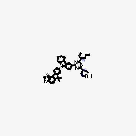 C=C/C=C(\C=C)c1nc(C(/C=C\BC)=C/C)nc(-c2ccc3c(c2)c2ccccc2n3-c2ccc3c(c2)C(C)(C)c2ccc4ncoc4c2-3)n1